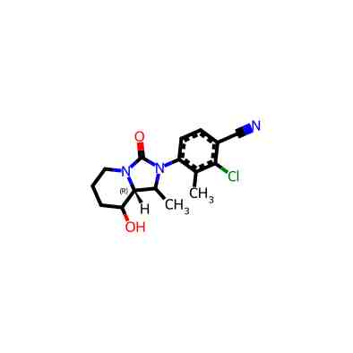 Cc1c(N2C(=O)N3CCCC(O)[C@H]3C2C)ccc(C#N)c1Cl